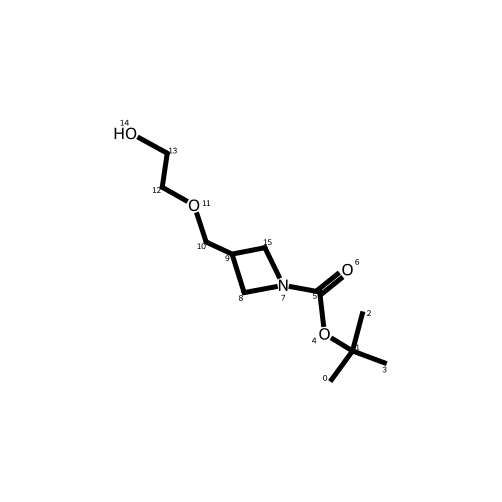 CC(C)(C)OC(=O)N1CC(COCCO)C1